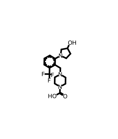 O=C(O)N1CCN(Cc2c(N3CCC(O)C3)cccc2C(F)(F)F)CC1